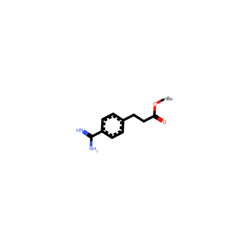 CCCCOC(=O)CCc1ccc(C(=N)N)cc1